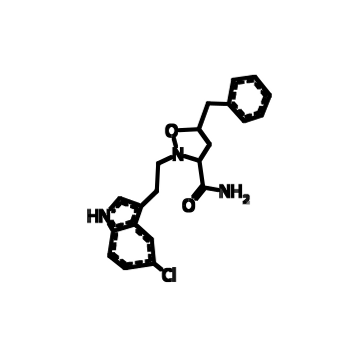 NC(=O)C1CC(Cc2ccccc2)ON1CCc1c[nH]c2ccc(Cl)cc12